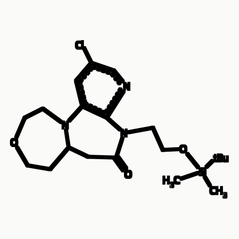 CC(C)(C)[Si](C)(C)OCCN1C(=O)CC2CCOCCN2c2cc(Cl)cnc21